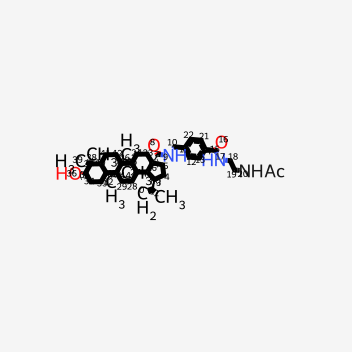 C=C(C)[C@@H]1CC[C@]2(C(=O)NCc3ccc(C(=O)NCCNC(C)=O)cc3)CC[C@]3(C)C(CCC4[C@@]5(C)CC[C@H](O)C(C)(C)C5CC[C@]43C)C12